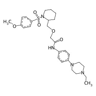 CCN1CCN(c2ccc(NC(=O)COCC3CCCCN3S(=O)(=O)c3ccc(OC)cc3)cc2)CC1